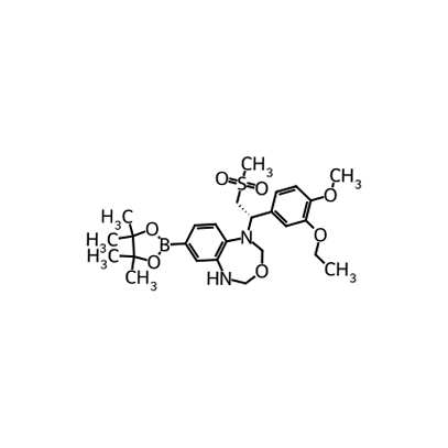 CCOc1cc([C@@H](CS(C)(=O)=O)N2COCNc3cc(B4OC(C)(C)C(C)(C)O4)ccc32)ccc1OC